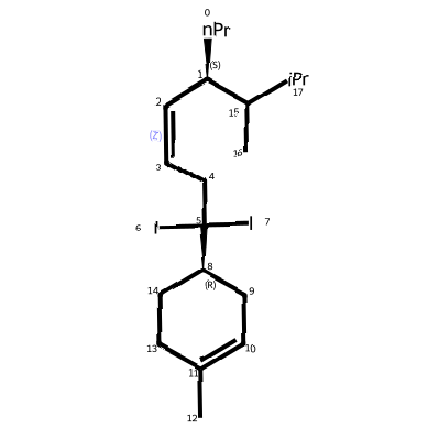 CCC[C@H](/C=C\CC(I)(I)[C@H]1CC=C(C)CC1)C(C)C(C)C